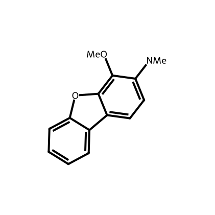 CNc1ccc2c(oc3ccccc32)c1OC